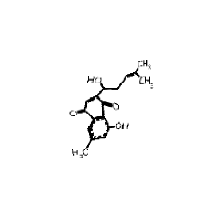 CC(C)=CCC(O)C1=CC(=O)c2cc(C)cc(O)c2C1=O